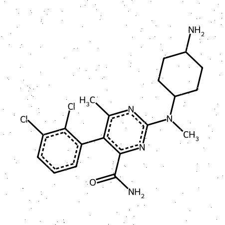 Cc1nc(N(C)C2CCC(N)CC2)nc(C(N)=O)c1-c1cccc(Cl)c1Cl